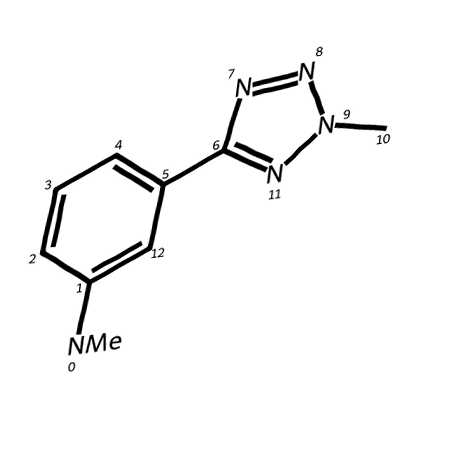 CNc1cccc(-c2nnn(C)n2)c1